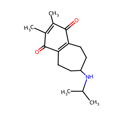 CC1=C(C)C(=O)C2=C(CCC(NC(C)C)CC2)C1=O